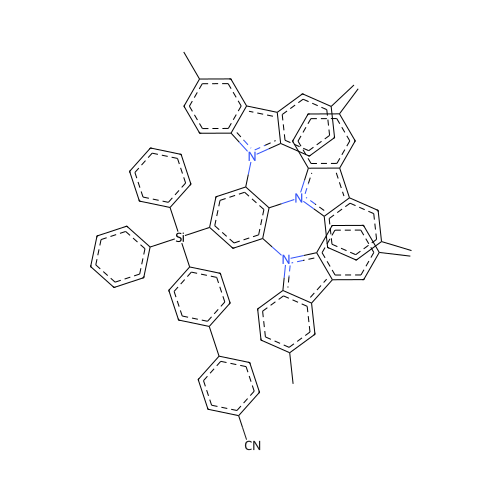 Cc1ccc2c(c1)c1cc(C)ccc1n2-c1cc([Si](c2ccccc2)(c2ccccc2)c2ccc(-c3ccc(C#N)cc3)cc2)cc(-n2c3ccc(C)cc3c3cc(C)ccc32)c1-n1c2ccc(C)cc2c2cc(C)ccc21